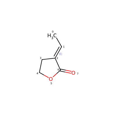 C/C=C1\CCOC1=O